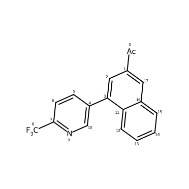 CC(=O)c1cc(-c2ccc(C(F)(F)F)nc2)c2ccccc2c1